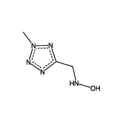 Cn1nnc(CNO)n1